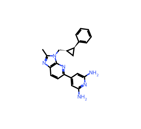 Cc1nc2ccc(-c3cc(N)nc(N)c3)nc2n1C[C@H]1C[C@@H]1c1ccccc1